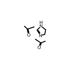 C1=NCCN1.CC(C)=O.CC(C)=O